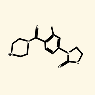 Cc1cc(N2CCOC2=O)ccc1C(=O)N1CCNCC1